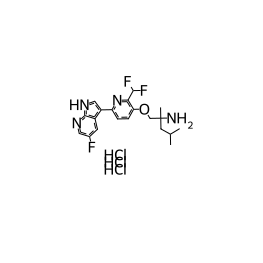 CC(C)CC(C)(N)COc1ccc(-c2c[nH]c3ncc(F)cc23)nc1C(F)F.Cl.Cl.Cl